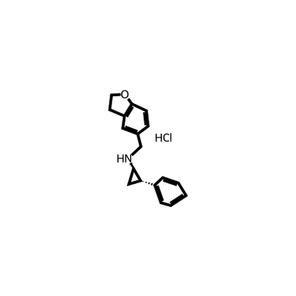 Cl.c1ccc([C@@H]2C[C@H]2NCc2ccc3c(c2)CCO3)cc1